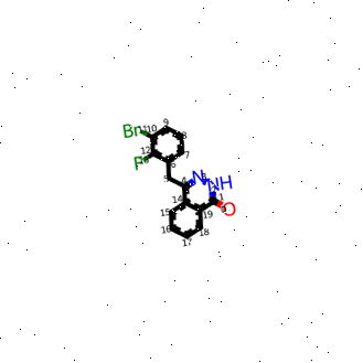 O=c1[nH]nc(Cc2cccc(Br)c2F)c2ccccc12